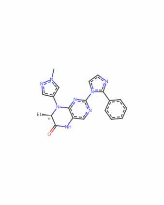 CC[C@@H]1C(=O)Nc2cnc(-n3ccnc3-c3ccccc3)nc2N1c1cnn(C)c1